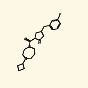 O=C(C1CC(Cc2cccc(F)c2)CN1)N1CCCN(C2CCC2)CC1